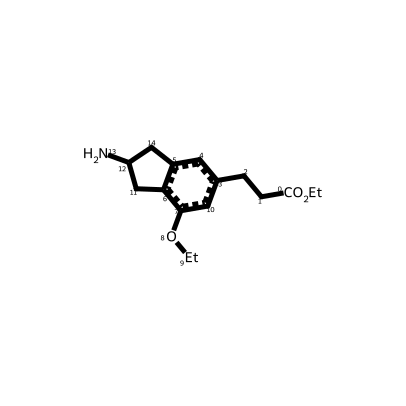 CCOC(=O)CCc1cc2c(c(OCC)c1)CC(N)C2